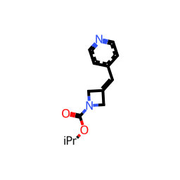 CC(C)OC(=O)N1CC(=Cc2ccncc2)C1